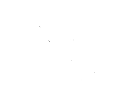 Cc1cn2cc(NC(=O)c3c(F)cc(N4CC[C@H](N(C)C)C4)c4cc(C)[nH]c34)cc(F)c2n1